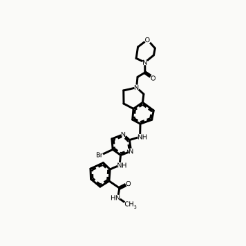 CNC(=O)c1ccccc1Nc1nc(Nc2ccc3c(c2)CCN(CC(=O)N2CCOCC2)C3)ncc1Br